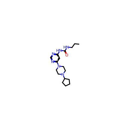 CCCNC(=O)Nc1cc(N2CCN(C3CCCC3)CC2)ncn1